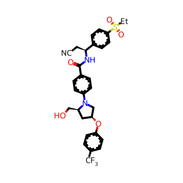 CCS(=O)(=O)c1ccc([C@H](CC#N)NC(=O)c2ccc(N3C[C@@H](Oc4ccc(C(F)(F)F)cc4)C[C@H]3CO)cc2)cc1